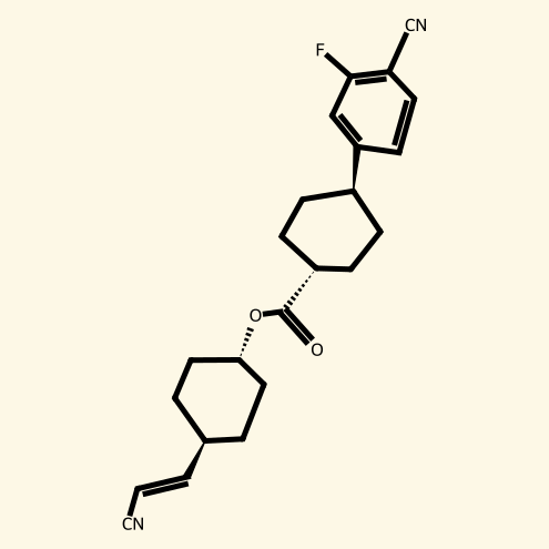 N#CC=C[C@H]1CC[C@H](OC(=O)[C@H]2CC[C@H](c3ccc(C#N)c(F)c3)CC2)CC1